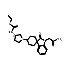 CCOC(=O)N[C@H]1CCN(C2CCC3(CC2)C(=O)N(CC(N)=O)c2ccccc23)C1